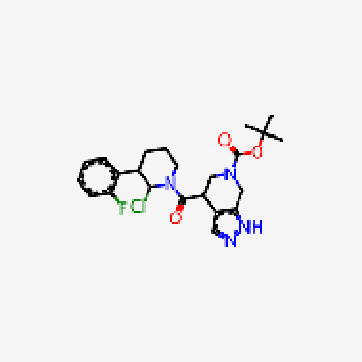 CC(C)(C)OC(=O)N1Cc2[nH]ncc2C(C(=O)N2CCCC(c3ccccc3F)C2Cl)C1